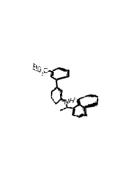 CCOC(=O)c1cccc(C2CCCC(NC(C)c3cccc4ccccc34)C2)c1